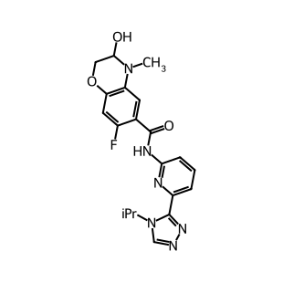 CC(C)n1cnnc1-c1cccc(NC(=O)c2cc3c(cc2F)OCC(O)N3C)n1